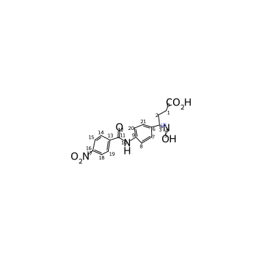 O=C(O)CC/C(=N/O)c1ccc(NC(=O)c2ccc([N+](=O)[O-])cc2)cc1